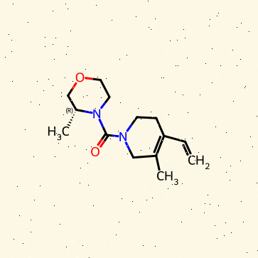 C=CC1=C(C)CN(C(=O)N2CCOC[C@H]2C)CC1